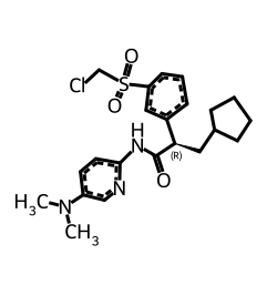 CN(C)c1ccc(NC(=O)[C@H](CC2CCCC2)c2cccc(S(=O)(=O)CCl)c2)nc1